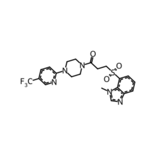 Cn1cnc2cccc(S(=O)(=O)CCC(=O)N3CCN(c4ccc(C(F)(F)F)cn4)CC3)c21